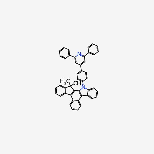 CC1(C)c2ccccc2-c2c1c1c(c3ccccc23)c2ccccc2n1-c1ccc(-c2cc(-c3ccccc3)nc(-c3ccccc3)c2)cc1